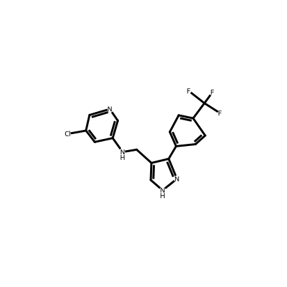 FC(F)(F)c1ccc(-c2n[nH]cc2CNc2cncc(Cl)c2)cc1